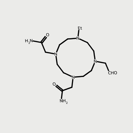 CCN1CCN(CC=O)CCN(CC(N)=O)CCN(CC(N)=O)CC1